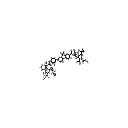 COC(=O)N[C@@H](CS(C)(=O)=O)C(=O)N1[C@@H]2CCC[C@@H](C2)[C@H]1c1nc2ccc(-c3ccc4c(c3)C(F)(F)c3cc(-c5cnc([C@@H]6CC7(CC7)CN6C(=O)[C@@H](NC(=O)OC)C(C)C)[nH]5)ccc3-4)cc2[nH]1